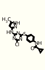 Cc1cc(Nc2nc(Cl)nc(Sc3ccc(NC(=O)C4CC4)cc3)n2)n[nH]1